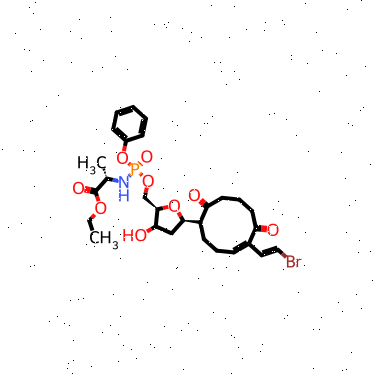 CCOC(=O)[C@H](C)NP(=O)(OC[C@H]1O[C@@H](C2CC/C=C(/C=C/Br)C(=O)CCCC2=O)CC1O)Oc1ccccc1